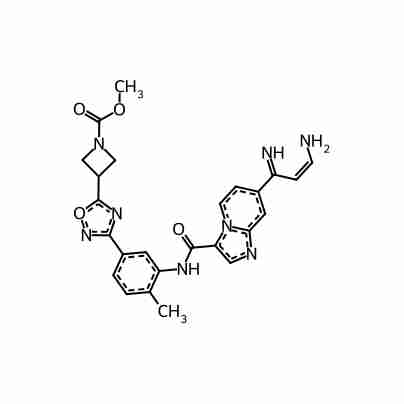 COC(=O)N1CC(c2nc(-c3ccc(C)c(NC(=O)c4cnc5cc(C(=N)/C=C\N)ccn45)c3)no2)C1